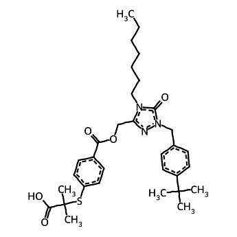 CCCCCCCn1c(COC(=O)c2ccc(SC(C)(C)C(=O)O)cc2)nn(Cc2ccc(C(C)(C)C)cc2)c1=O